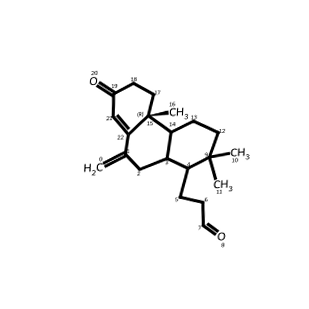 C=C1CC2C(CCC=O)C(C)(C)CCC2[C@@]2(C)CCC(=O)C=C12